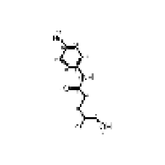 C[C@H](CO)CCC(=O)Nc1ccc(Br)cc1